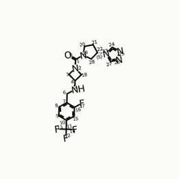 O=C(N1CC(NCc2ccc(C(F)(F)F)cc2F)C1)N1CC[C@H](n2cnnc2)C1